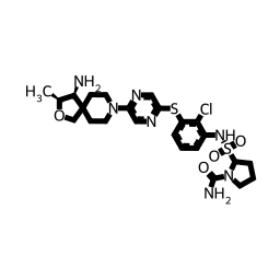 C[C@@H]1OCC2(CCN(c3cnc(Sc4cccc(NS(=O)(=O)C5CCCN5C(N)=O)c4Cl)cn3)CC2)[C@@H]1N